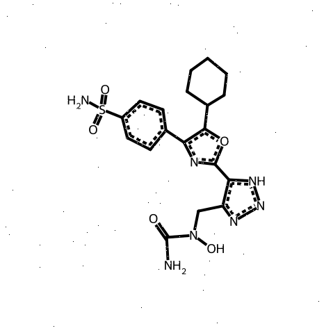 NC(=O)N(O)Cc1nn[nH]c1-c1nc(-c2ccc(S(N)(=O)=O)cc2)c(C2CCCCC2)o1